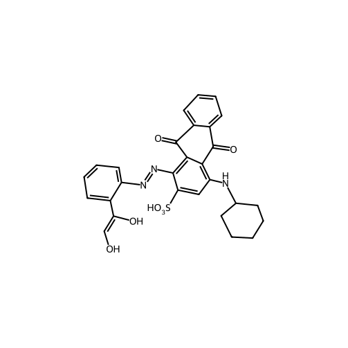 O=C1c2ccccc2C(=O)c2c(/N=N/c3ccccc3/C(O)=C/O)c(S(=O)(=O)O)cc(NC3CCCCC3)c21